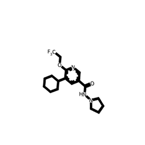 O=C(NN1CCCC1)c1cnc(OCC(F)(F)F)c(C2CCCCC2)c1